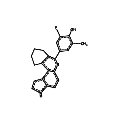 Cc1cc(-c2nc3ccc4[nH]ccc4c3c3c2CCCC3)cc(F)c1O